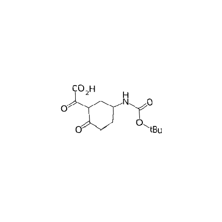 CC(C)(C)OC(=O)NC1CCC(=O)C(C(=O)C(=O)O)C1